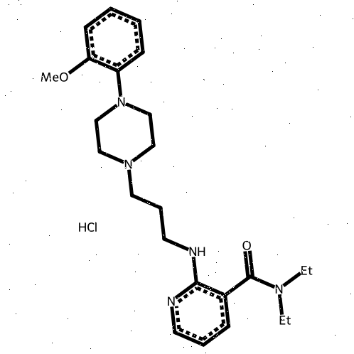 CCN(CC)C(=O)c1cccnc1NCCCN1CCN(c2ccccc2OC)CC1.Cl